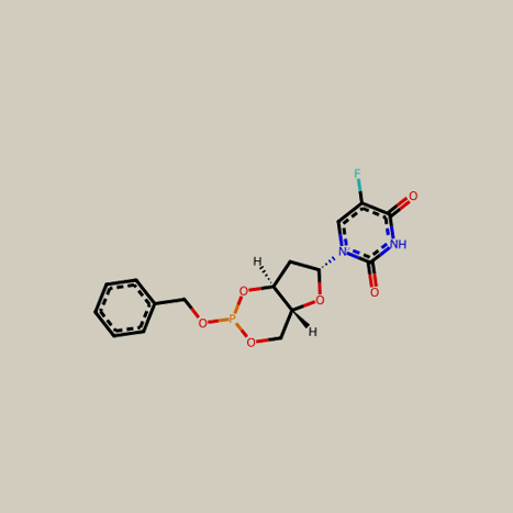 O=c1[nH]c(=O)n([C@H]2C[C@@H]3OP(OCc4ccccc4)OC[C@H]3O2)cc1F